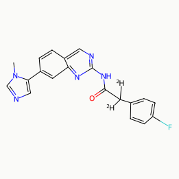 [2H]C([2H])(C(=O)Nc1ncc2ccc(-c3cncn3C)cc2n1)c1ccc(F)cc1